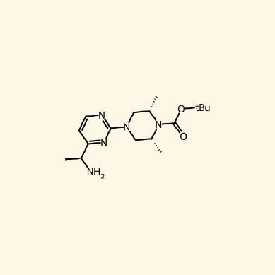 C[C@H](N)c1ccnc(N2C[C@@H](C)N(C(=O)OC(C)(C)C)[C@@H](C)C2)n1